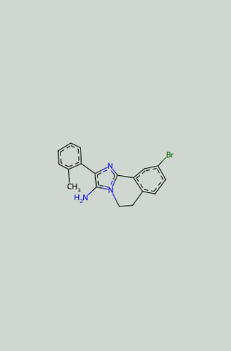 Cc1ccccc1-c1nc2n(c1N)CCc1ccc(Br)cc1-2